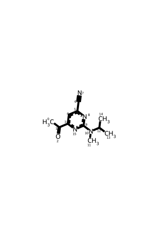 CC(=O)c1cc(C#N)nc(N(C)C(C)C)n1